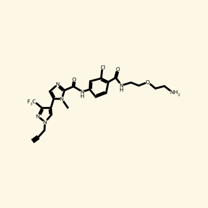 C#CCn1cc(-c2cnc(C(=O)Nc3ccc(C(=O)NCCOCCN)c(Cl)c3)n2C)c(C(F)(F)F)n1